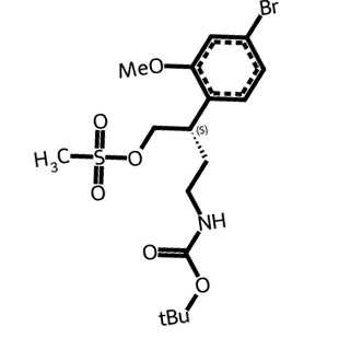 COc1cc(Br)ccc1[C@H](CCNC(=O)OC(C)(C)C)COS(C)(=O)=O